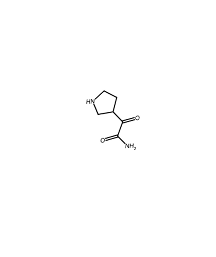 NC(=O)C(=O)C1CCNC1